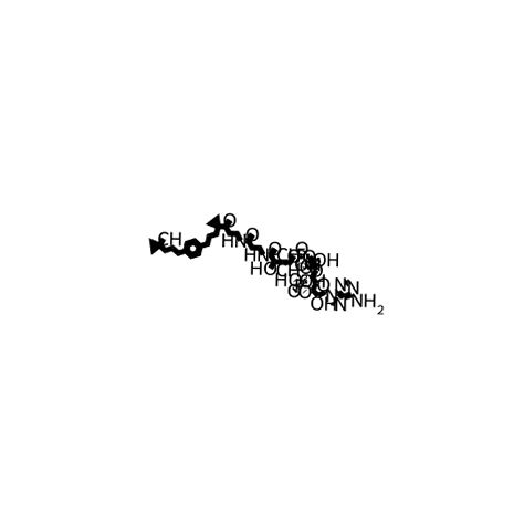 CC1(CCCc2ccc(CCCC3(C(=O)CCNC(=O)CCNC(=O)C(O)C(C)(C)COP(=O)(O)OP(=O)(O)OCC4OC(n5cnc6c(N)ncnc65)C(O)C4OP(=O)(O)O)CC3)cc2)CC1